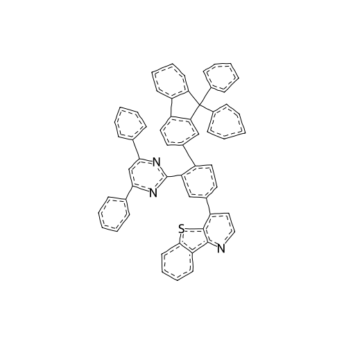 c1ccc(-c2cc(-c3ccccc3)nc(-c3cc(-c4ccnc5c4sc4ccccc45)ccc3-c3ccc4c(c3)C(c3ccccc3)(c3ccccc3)c3ccccc3-4)n2)cc1